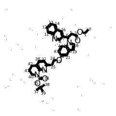 CCOC(=O)CC(c1cnc2ccccc2c1)n1ccc2cc(OCCc3ccc4c(n3)N(C(=O)OC(C)(C)C)CCC4)ccc21